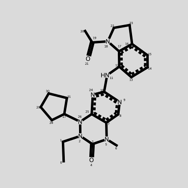 CCN1C(=O)N(C)c2cnc(Nc3cccc4c3N(C(C)=O)CC4)nc2N1C1CCCC1